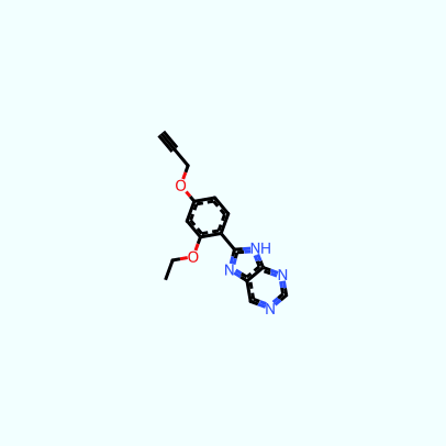 C#CCOc1ccc(-c2nc3cncnc3[nH]2)c(OCC)c1